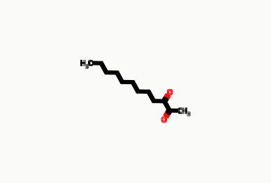 CCCCCCCCCC(=O)C(C)=O